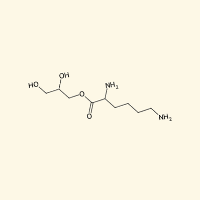 NCCCCC(N)C(=O)OCC(O)CO